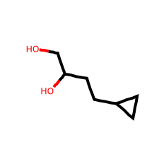 OCC(O)CC[C]1CC1